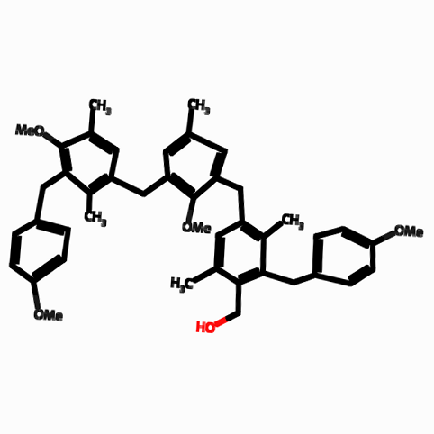 COc1ccc(Cc2c(C)c(Cc3cc(C)cc(Cc4cc(C)c(OC)c(Cc5ccc(OC)cc5)c4C)c3OC)cc(C)c2CO)cc1